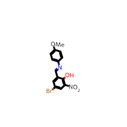 COc1ccc(/N=C/c2cc(Br)cc([N+](=O)[O-])c2O)cc1